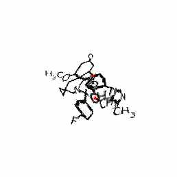 COc1cc(C2CC(=O)CC(OC)C23CC2(CC2)CN2C3=NOC2(C)c2ccc(F)cc2)ccc1-n1cnc(C)c1